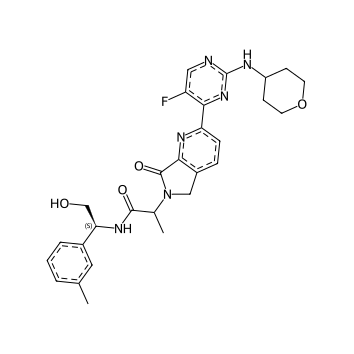 Cc1cccc([C@@H](CO)NC(=O)C(C)N2Cc3ccc(-c4nc(NC5CCOCC5)ncc4F)nc3C2=O)c1